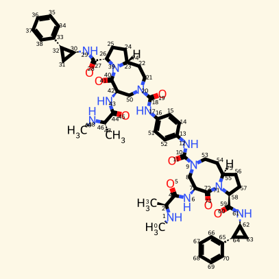 CN[C@@H](C)C(=O)N[C@H]1CN(C(=O)Nc2ccc(NC(=O)N3CC[C@H]4CC[C@@H](C(=O)N[C@@H]5C[C@@H]5c5ccccc5)N4C(=O)[C@H](NC(=O)[C@H](C)NC)C3)cc2)CC[C@H]2CC[C@@H](C(=O)N[C@@H]3C[C@@H]3c3ccccc3)N2C1=O